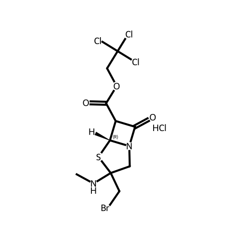 CNC1(CBr)CN2C(=O)C(C(=O)OCC(Cl)(Cl)Cl)[C@H]2S1.Cl